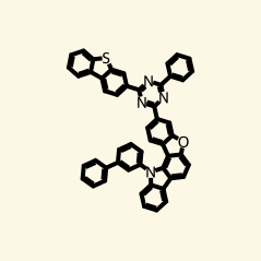 c1ccc(-c2cccc(-n3c4ccccc4c4ccc5oc6cc(-c7nc(-c8ccccc8)nc(-c8ccc9c(c8)sc8ccccc89)n7)ccc6c5c43)c2)cc1